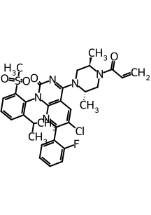 C=CC(=O)N1C[C@H](C)N(c2nc(=O)n(-c3c(C(C)C)cccc3S(C)(=O)=O)c3nc(-c4ccccc4F)c(Cl)cc23)C[C@H]1C